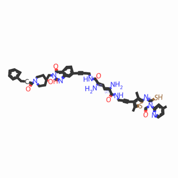 Cc1ccnc(N(C=O)/C(S)=N\c2sc(C)c(C#CCNC(=O)/C(N)=C/C=C(\N)C(=O)NCC#Cc3ccc4c(=O)n(CC5(O)CCN(C(=O)CCc6ccccc6)CC5)cnc4c3)c2C)c1